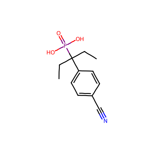 CCC(CC)(c1ccc(C#N)cc1)P(=O)(O)O